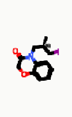 C[C@@H](CI)CN1C(=O)COc2ccccc21